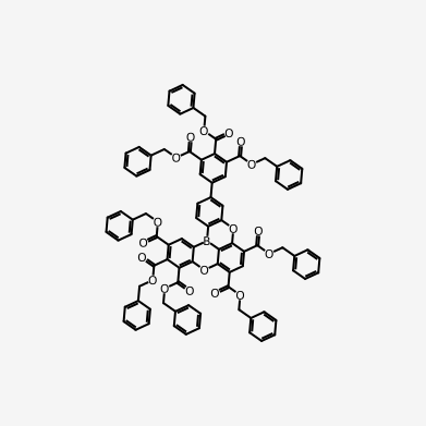 O=C(OCc1ccccc1)c1cc(C(=O)OCc2ccccc2)c2c3c1Oc1cc(-c4cc(C(=O)OCc5ccccc5)c(C(=O)OCc5ccccc5)c(C(=O)OCc5ccccc5)c4)ccc1B3c1cc(C(=O)OCc3ccccc3)c(C(=O)OCc3ccccc3)c(C(=O)OCc3ccccc3)c1O2